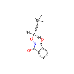 [2H]C([2H])(C#C[Si](C)(C)C)ON1C(=O)c2ccccc2C1=O